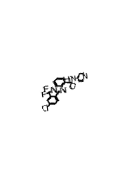 O=C(Nc1ccncc1)c1cccc2c1nc1n2C(F)(F)c2cc(Cl)ccc2-1